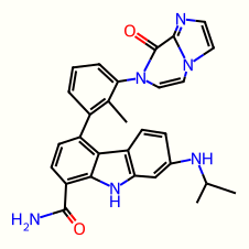 Cc1c(-c2ccc(C(N)=O)c3[nH]c4cc(NC(C)C)ccc4c23)cccc1-n1ccn2ccnc2c1=O